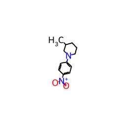 CC1CCCN(c2ccc([N+](=O)[O-])cc2)C1